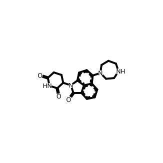 O=C1CCC(N2C(=O)c3cccc4c(N5CCCNCC5)ccc2c34)C(=O)N1